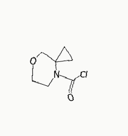 O=C(Cl)N1CCOCC12CC2